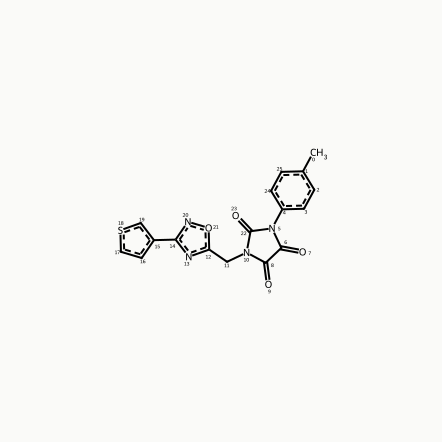 Cc1ccc(N2C(=O)C(=O)N(Cc3nc(-c4ccsc4)no3)C2=O)cc1